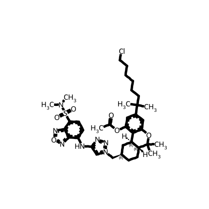 CC(=O)Oc1cc(C(C)(C)CCCCCCCl)cc2c1[C@@H]1C[C@H](Cn3cc(Nc4ccc(S(=O)(=O)N(C)C)c5nonc45)nn3)CC[C@H]1C(C)(C)O2